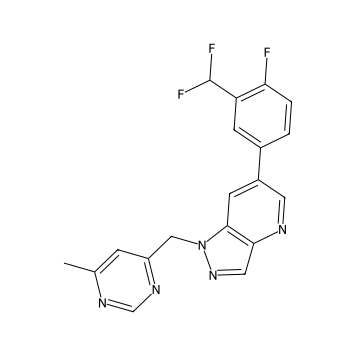 Cc1cc(Cn2ncc3ncc(-c4ccc(F)c(C(F)F)c4)cc32)ncn1